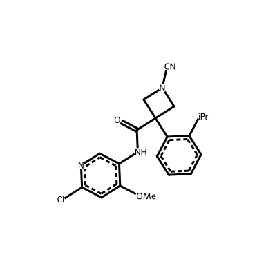 COc1cc(Cl)ncc1NC(=O)C1(c2ccccc2C(C)C)CN(C#N)C1